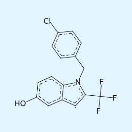 Oc1ccc2c([c]c(C(F)(F)F)n2Cc2ccc(Cl)cc2)c1